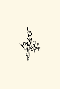 CC#CCN1c2c(cnn(Cc3cccc(F)n3)c2=O)N(OC(=O)C(F)(F)F)C1N1CCNCC1